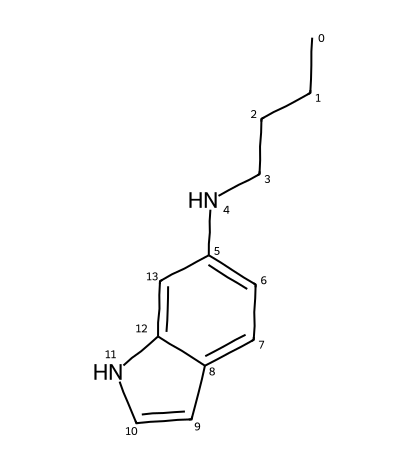 CCCCNc1ccc2cc[nH]c2c1